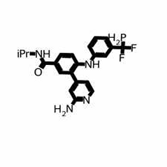 CC(C)NC(=O)c1ccc(Nc2cccc(C(F)(F)P)c2)c(-c2ccnc(N)c2)c1